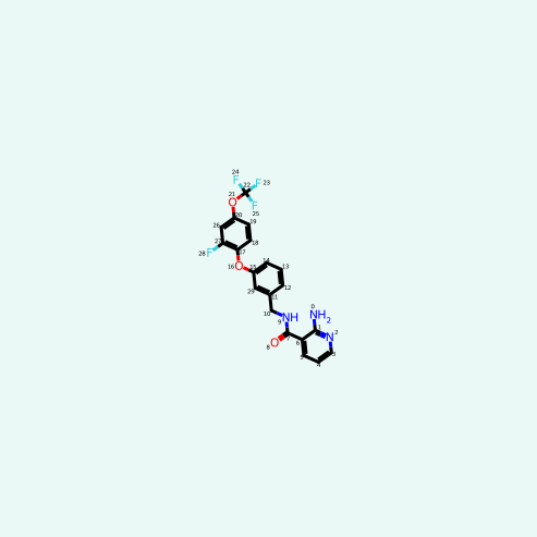 Nc1ncccc1C(=O)NCc1cccc(Oc2ccc(OC(F)(F)F)cc2F)c1